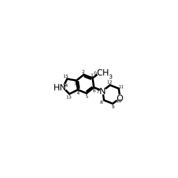 Cc1cc2c(cc1N1CCOCC1)CNC2